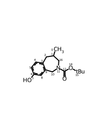 CC1Cc2ccc(O)cc2CN(C(=O)OC(C)(C)C)C1